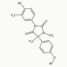 CC(C)Oc1ccc(C2(C)C(=O)N(c3ccc(C#N)c(C(F)(F)F)c3)C(=O)N2C)cc1